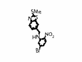 CSc1nc2ccc(CNc3cc(Br)ccc3[N+](=O)[O-])cc2s1